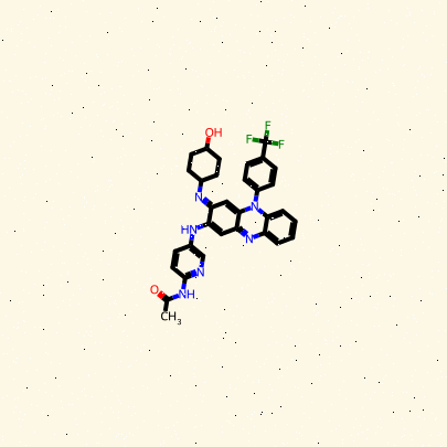 CC(=O)Nc1ccc(Nc2cc3nc4ccccc4n(-c4ccc(C(F)(F)F)cc4)c-3c/c2=N\C2CCC(O)CC2)cn1